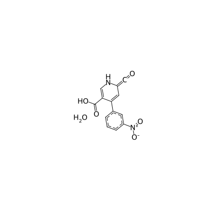 O.O=C=C1C=C(c2cccc([N+](=O)[O-])c2)C(C(=O)O)=CN1